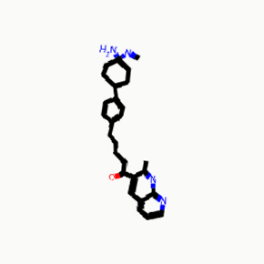 C=NC1(N)CCC(c2ccc(CCCCC(=O)c3cc4cccnc4nc3C)cc2)CC1